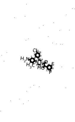 Cc1cc(N)ccc1N1CCN(C(=O)C(O)c2cc(F)cc(F)c2)C[C@H]1c1ccc(Cl)cc1